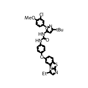 CCc1cnc2sc3ccc(Oc4ccc(NC(=O)Nc5cc(C(C)(C)C)nn5-c5ccc(OC)c(Cl)c5)cc4)cc3n12